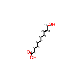 O=C(O)CCCCCCC/C=C/CO